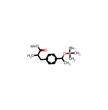 COC(=O)C(C)Cc1ccc(C(C)O[Si](C)(C)C(C)(C)C)cc1